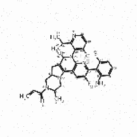 C=CC(=O)N1CC2CC3=C(c4cc(F)c(-c5c(N)cccc5F)nc4N(c4c(C)ccnc4C(C)C)C3O)N2CC1C